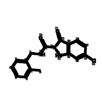 Cc1ccccc1CNC(=O)n1[nH]c2cc(Cl)ccc2c1=O